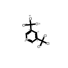 ClC(Cl)(Cl)c1cncc(C(Cl)(Cl)Cl)c1